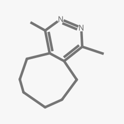 Cc1nnc(C)c2c1CCCCCC2